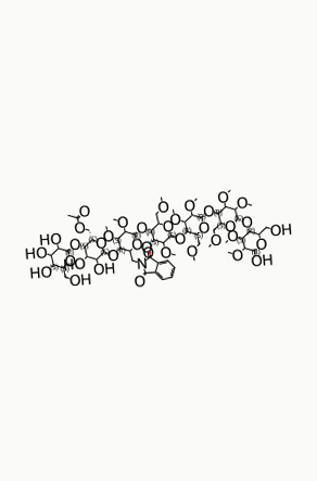 COCC1O[C@@H](O[C@H]2C(OC)C(OC)[C@@H](O[C@H]3C(OC)C(OC)[C@H](O[C@@H]4C(CO)O[C@@H](O)C(OC)[C@H]4OC)O[C@H]3COC)O[C@H]2COC)C(OC)[C@@H](OC)[C@@H]1O[C@H]1OC(CN2C(=O)c3ccccc3C2=O)[C@@H](O[C@@H]2O[C@@H](COC(C)=O)[C@@H](O[C@H]3O[C@@H](CO)[C@@H](O)C(O)C3O)C(O)C2O)[C@H](OC)C1OC